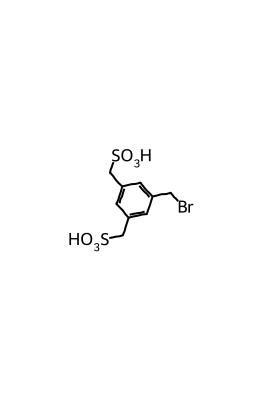 O=S(=O)(O)Cc1cc(CBr)cc(CS(=O)(=O)O)c1